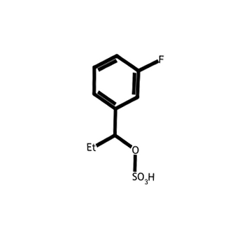 CCC(OS(=O)(=O)O)c1cccc(F)c1